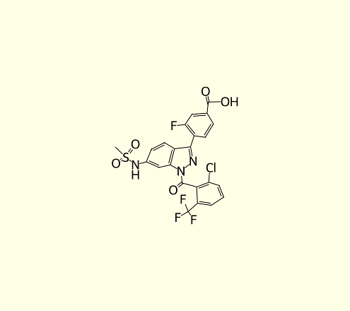 CS(=O)(=O)Nc1ccc2c(-c3ccc(C(=O)O)cc3F)nn(C(=O)c3c(Cl)cccc3C(F)(F)F)c2c1